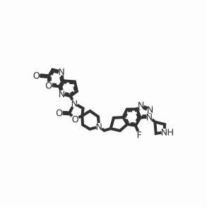 O=C1OC2(CCN(CC3Cc4cc5nnn(C6CNC6)c5c(F)c4C3)CC2)CN1c1ccc2ncc(=O)oc2n1